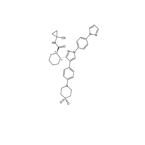 N#CC1(NC(=O)[C@@H]2CCCC[C@H]2c2nn(-c3ccc(-n4cccn4)cc3)cc2-c2ccc(N3CCS(=O)(=O)CC3)cc2)CC1